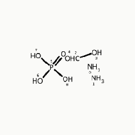 N.N.O=CO.O=P(O)(O)O